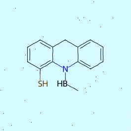 CBN1c2ccccc2Cc2cccc(S)c21